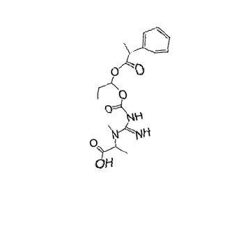 CCC(OC(=O)NC(=N)N(C)C(C)C(=O)O)OC(=O)C(C)c1ccccc1